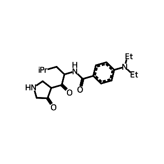 CCN(CC)c1ccc(C(=O)NC(CC(C)C)C(=O)C2CNCC2=O)cc1